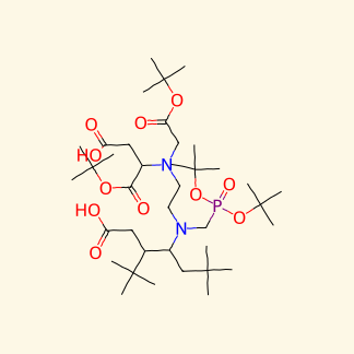 CC(C)(C)CC(C(CC(=O)O)C(C)(C)C)N(CCN(CC(=O)OC(C)(C)C)C(CC(=O)O)C(=O)OC(C)(C)C)CP(=O)(OC(C)(C)C)OC(C)(C)C